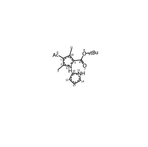 CC(=O)c1c(C)[nH]c(C(=O)OC(C)(C)C)c1C.c1cc[nH]c1